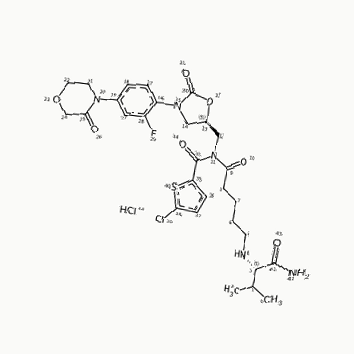 CC(C)[C@H](NCCCCC(=O)N(C[C@H]1CN(c2ccc(N3CCOCC3=O)cc2F)C(=O)O1)C(=O)c1ccc(Cl)s1)C(N)=O.Cl